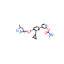 CNC(=O)Oc1cc(-c2ccc(OC[C@@](C)(N)CC(C)C)c(C3CC3)c2)ccn1